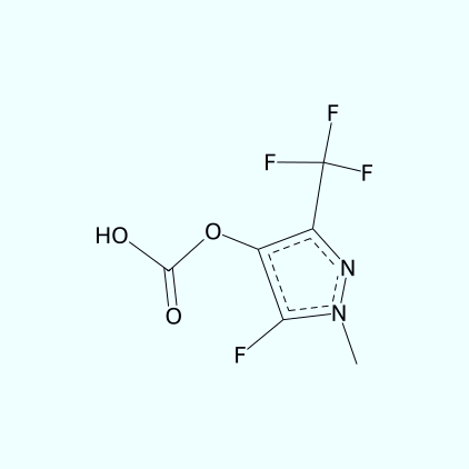 Cn1nc(C(F)(F)F)c(OC(=O)O)c1F